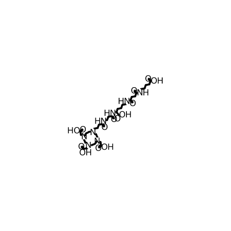 O=C(O)CCCCNC(=O)CCC(=O)NCCCCC(NC(=O)CCNC(=O)CCCN1CCN(CC(=O)O)CCN(CC(=O)O)CCN(CC(=O)O)CC1)C(=O)O